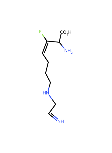 N=CCNCCC/C=C(/F)C(N)C(=O)O